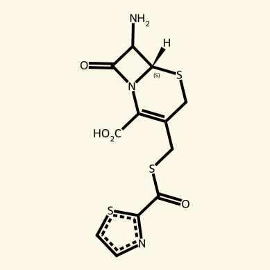 NC1C(=O)N2C(C(=O)O)=C(CSC(=O)c3nccs3)CS[C@@H]12